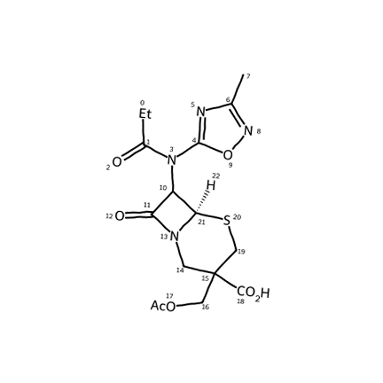 CCC(=O)N(c1nc(C)no1)C1C(=O)N2CC(COC(C)=O)(C(=O)O)CS[C@H]12